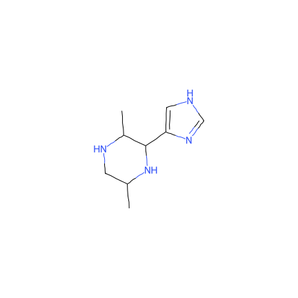 CC1CNC(C)C(c2c[nH]cn2)N1